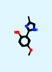 COc1ccc(O)c(-c2nc(C)c[nH]2)c1